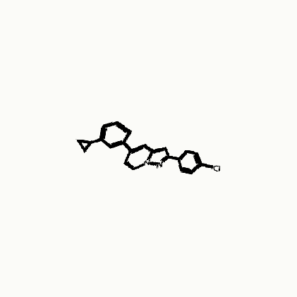 Clc1ccc(-c2cc3cc(-c4cccc(C5CC5)c4)ccn3n2)cc1